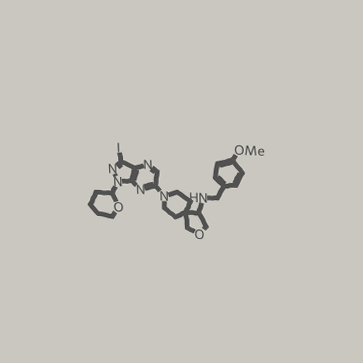 COc1ccc(CNC2COCC23CCN(c2cnc4c(I)nn(C5CCCCO5)c4n2)CC3)cc1